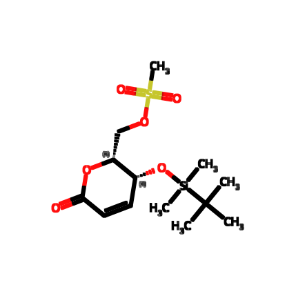 CC(C)(C)[Si](C)(C)O[C@@H]1C=CC(=O)O[C@@H]1COS(C)(=O)=O